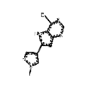 Cn1cc(-c2cc3ncnc(Cl)c3[nH]2)cn1